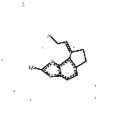 Cc1nc2ccc3c(c2o1)/C(=C\CN)CC3